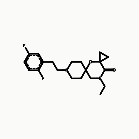 CCN1CC2(CCN(CCc3cc(F)ccc3F)CC2)OC2(CC2)C1=O